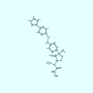 CC(C(=O)NO)N1CCC(C)(c2ccc(OCc3ccc(-c4csnn4)cc3)cc2)C1=O